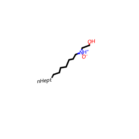 CCCCCCCCCCCCCC[NH+]([O-])CCO